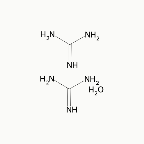 N=C(N)N.N=C(N)N.O